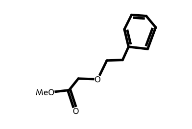 [CH2]OC(=O)COCCc1ccccc1